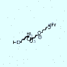 CCCOCCCCOC(=O)CCC(=O)OC(C)(CC)CCCCO